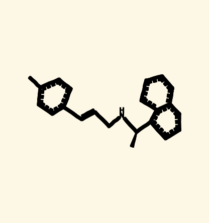 Cc1ccc(/C=C/CN[C@H](C)c2cccc3ccccc23)cc1